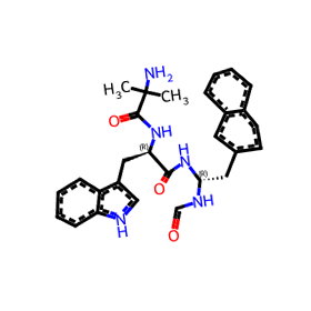 CC(C)(N)C(=O)N[C@H](Cc1c[nH]c2ccccc12)C(=O)N[C@H](Cc1ccc2ccccc2c1)NC=O